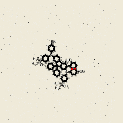 Cc1ccccc1-c1c(N(c2ccc(C(C)(C)C)cc2)c2ccc([Si](C)(C)C)cc2)cc2c(c1C)-c1ccc(N(c3ccc(C(C)(C)C)cc3)c3ccc([Si](C)(C)C)cc3)cc1C2(c1ccccc1)c1ccccc1